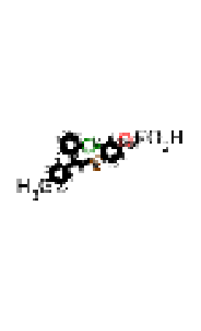 Cc1ccc(C(=CCSc2ccc(OCC(=O)O)cc2Cl)c2ccccc2)cc1